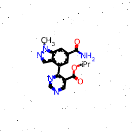 CC(C)OC(=O)c1cncnc1-c1cc(C(N)=O)cc2c1cnn2C